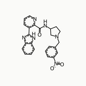 O=C(NC1CCN(Cc2cccc([N+](=O)[O-])c2)C1)c1ncccc1-c1nc2ccccc2[nH]1